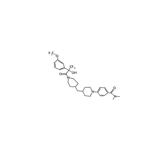 CN(C)C(=O)c1ccc(N2CCC(CC3CCN(C(=O)C(O)(c4cccc(OC(F)(F)F)c4)C(F)(F)F)CC3)CC2)cc1